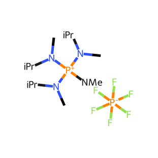 CN[P+](N(C)C(C)C)(N(C)C(C)C)N(C)C(C)C.F[P-](F)(F)(F)(F)F